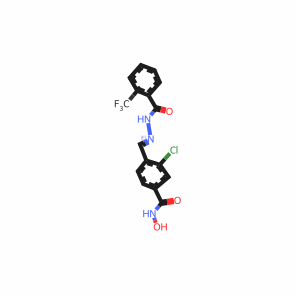 O=C(NO)c1ccc(/C=N/NC(=O)c2ccccc2C(F)(F)F)c(Cl)c1